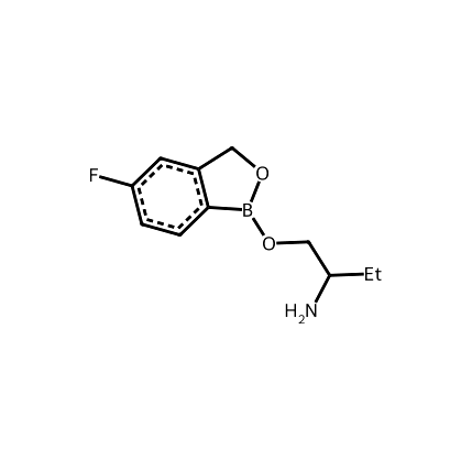 CCC(N)COB1OCc2cc(F)ccc21